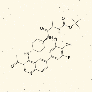 CC(=O)c1cnc2ccc(-c3cc(F)c(O)c(Cl)c3)cc2c1N[C@H]1CC[C@H](NC(=O)C(C)NC(=O)OC(C)(C)C)CC1